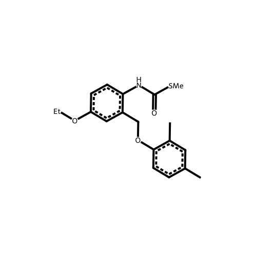 CCOc1ccc(NC(=O)SC)c(COc2ccc(C)cc2C)c1